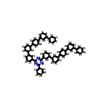 c1ccc(-c2cccc(-c3ccc(-c4cccc(-c5cccc(-c6nc(-c7ccccc7)nc(-c7cccc(-c8cccc(-c9ccc(-c%10cccc(-c%11ccccc%11)c%10)cc9)c8)c7)n6)c5)c4)cc3)c2)cc1